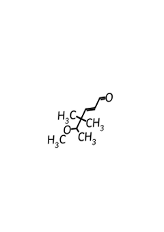 COC(C)C(C)(C)/C=C/C=O